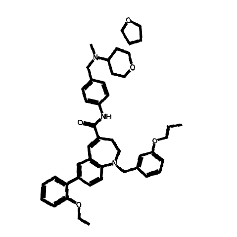 C1CCOC1.CCCOc1cccc(CN2CCC(C(=O)Nc3ccc(CN(C)C4CCOCC4)cc3)=Cc3cc(-c4ccccc4OCC)ccc32)c1